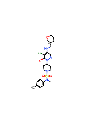 CN(c1ccc(C#N)cc1)S(=O)(=O)N1CCC(n2ncc(NC[C@H]3CCCOC3)c(Cl)c2=O)CC1